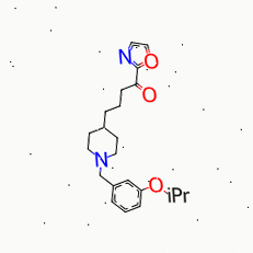 CC(C)Oc1cccc(CN2CCC(CCCC(=O)c3ncco3)CC2)c1